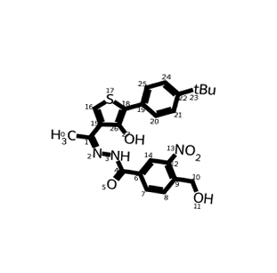 CC(=NNC(=O)c1ccc(CO)c([N+](=O)[O-])c1)c1csc(-c2ccc(C(C)(C)C)cc2)c1O